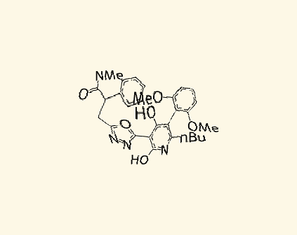 CCCCc1nc(O)c(-c2nnc(CC(C(=O)NC)c3ccccc3)o2)c(O)c1-c1c(OC)cccc1OC